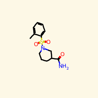 Cc1ccccc1S(=O)(=O)N1CCCC(C(N)=O)C1